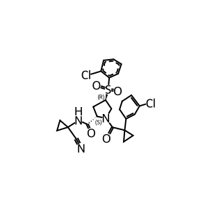 N#CC1(NC(=O)[C@@H]2C[C@@H](S(=O)(=O)c3ccccc3Cl)CN2C(=O)C2(C3=CC(Cl)=CCC3)CC2)CC1